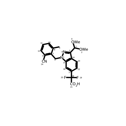 COC(OC)c1nn(Cc2c(C)cccc2C#N)c2cc(C(F)(F)C(=O)O)ccc12